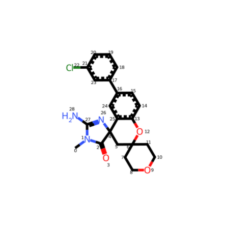 CN1C(=O)C2(CC3(CCOCC3)Oc3ccc(-c4cccc(Cl)c4)cc32)N=C1N